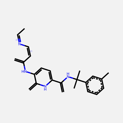 C=C(/C=C\N=C/C)NC1=CC=C(C(=C)NC(C)(C)c2cccc(C)c2)NC1=C